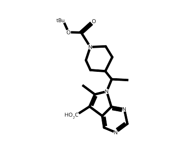 Cc1c(C(=O)O)c2cncnc2n1C(C)C1CCN(C(=O)OC(C)(C)C)CC1